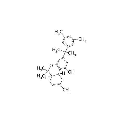 CC1=CC[C@@H]2[C@@H](C1)c1c(O)cc(C(C)(C)c3cc(C)cc(C)c3)cc1OC2(C)C